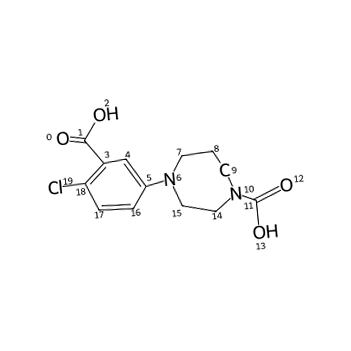 O=C(O)c1cc(N2CCCN(C(=O)O)CC2)ccc1Cl